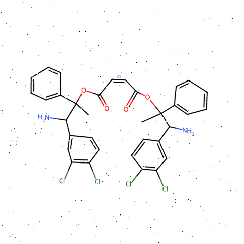 CC(OC(=O)/C=C\C(=O)OC(C)(c1ccccc1)C(N)c1ccc(Cl)c(Cl)c1)(c1ccccc1)C(N)c1ccc(Cl)c(Cl)c1